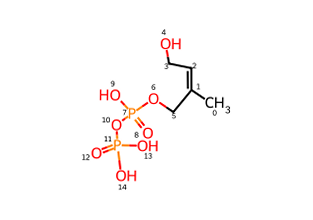 CC(=CCO)COP(=O)(O)OP(=O)(O)O